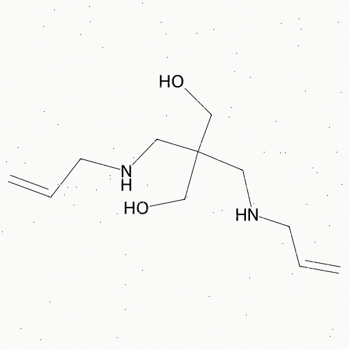 C=CCNCC(CO)(CO)CNCC=C